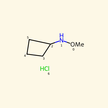 CONC1CCC1.Cl